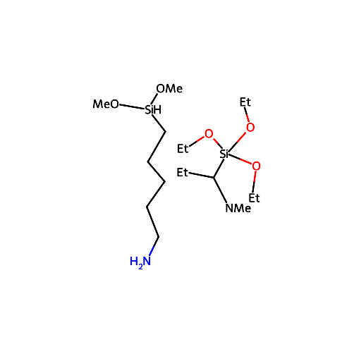 CCO[Si](OCC)(OCC)C(CC)NC.CO[SiH](CCCCCN)OC